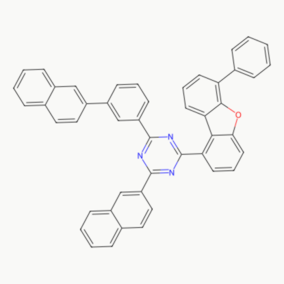 c1ccc(-c2cccc3c2oc2cccc(-c4nc(-c5cccc(-c6ccc7ccccc7c6)c5)nc(-c5ccc6ccccc6c5)n4)c23)cc1